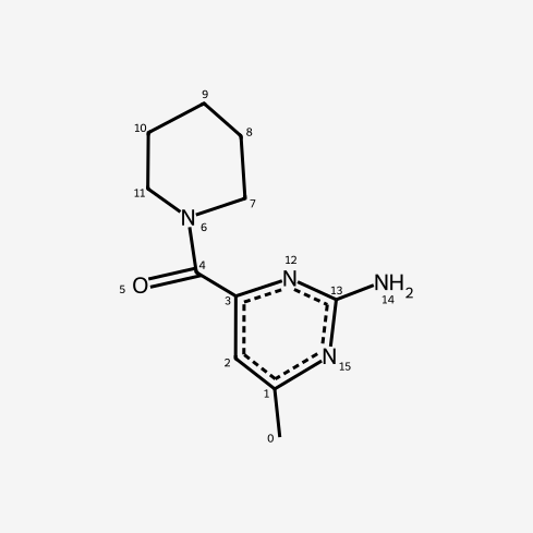 Cc1cc(C(=O)N2CCCCC2)nc(N)n1